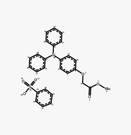 CC(C)(C)OC(=O)COc1ccc([S+](c2ccccc2)c2ccccc2)cc1.O=S(=O)([O-])c1ccccc1